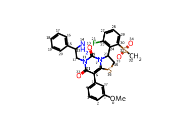 COc1cccc(-c2c3n(c(=O)n(CC(N)c4ccccc4)c2=O)C(c2c(F)cccc2S(C)(=O)=O)CS3)c1